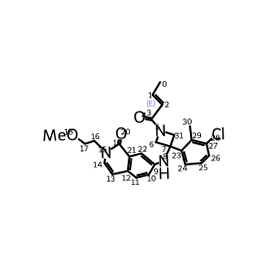 C/C=C/C(=O)N1CC(Nc2ccc3ccn(CCOC)c(=O)c3c2)(c2cccc(Cl)c2C)C1